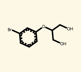 OCC(CO)Oc1cccc(Br)c1